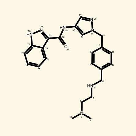 CN(C)CCNCc1ccc(Cn2cc(NC(=O)c3n[nH]c4ccccc34)cn2)cc1